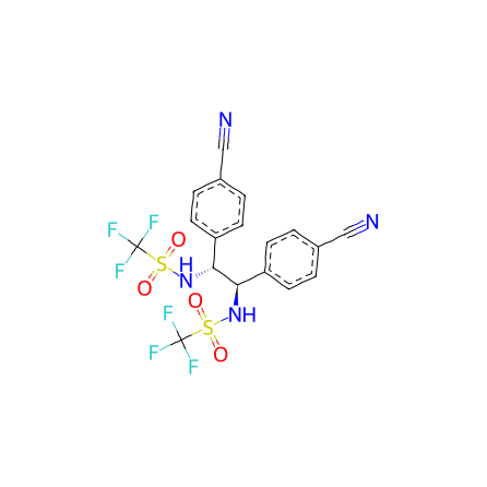 N#Cc1ccc([C@@H](NS(=O)(=O)C(F)(F)F)[C@H](NS(=O)(=O)C(F)(F)F)c2ccc(C#N)cc2)cc1